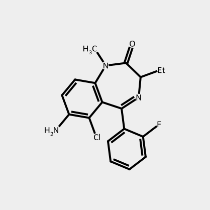 CCC1N=C(c2ccccc2F)c2c(ccc(N)c2Cl)N(C)C1=O